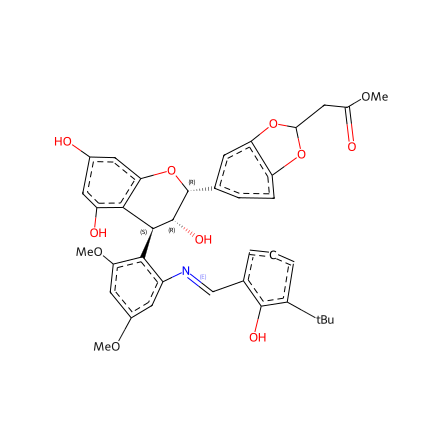 COC(=O)CC1Oc2ccc([C@H]3Oc4cc(O)cc(O)c4[C@H](c4c(/N=C/c5cccc(C(C)(C)C)c5O)cc(OC)cc4OC)[C@H]3O)cc2O1